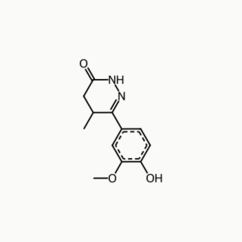 COc1cc(C2=NNC(=O)CC2C)ccc1O